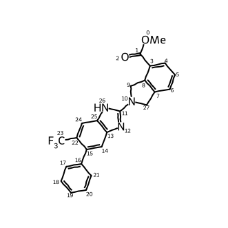 COC(=O)c1cccc2c1CN(c1nc3cc(-c4ccccc4)c(C(F)(F)F)cc3[nH]1)C2